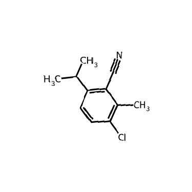 Cc1c(Cl)ccc(C(C)C)c1C#N